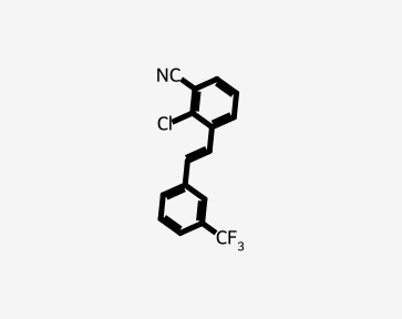 N#Cc1cccc(C=Cc2cccc(C(F)(F)F)c2)c1Cl